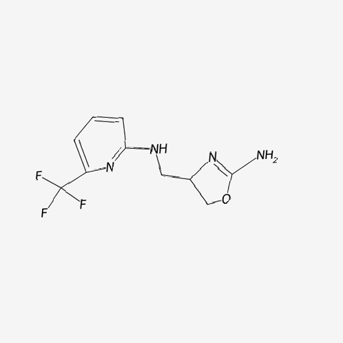 NC1=NC(CNc2cccc(C(F)(F)F)n2)CO1